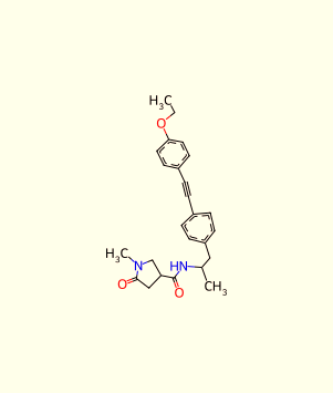 CCOc1ccc(C#Cc2ccc(CC(C)NC(=O)C3CC(=O)N(C)C3)cc2)cc1